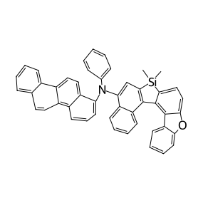 C[Si]1(C)c2cc(N(c3ccccc3)c3cccc4c3ccc3c5ccccc5ccc43)c3ccccc3c2-c2c1ccc1oc3ccccc3c21